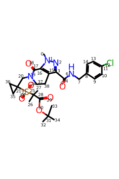 Cn1nc(C(=O)NCc2ccc(Cl)cc2)c2c1C(=O)N(CC1(S(=O)(=O)C(C)(C)C(=O)OC(C)(C)C)CC1)CC2